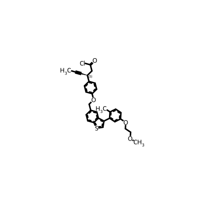 CC#C[C@@H](CC(=O)Cl)c1ccc(OCc2ccc3scc(-c4cc(OCCOC)ccc4C)c3c2)cc1